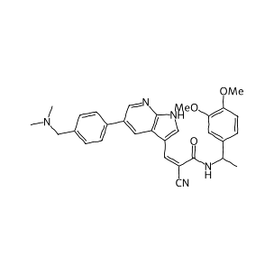 COc1ccc(C(C)NC(=O)C(C#N)=Cc2c[nH]c3ncc(-c4ccc(CN(C)C)cc4)cc23)cc1OC